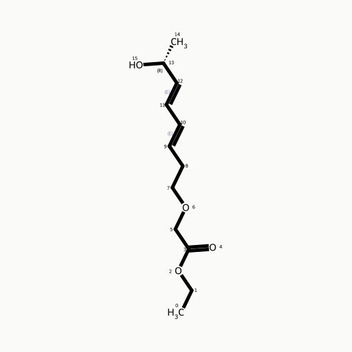 CCOC(=O)COCC/C=C/C=C/[C@@H](C)O